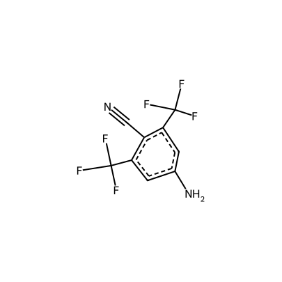 N#Cc1c(C(F)(F)F)cc(N)cc1C(F)(F)F